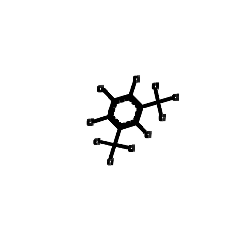 Clc1c(Cl)c(C(Cl)(Cl)Cl)c(Cl)c(C(Cl)(Cl)Cl)c1Cl